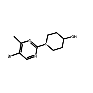 Cc1nc(N2CCC(O)CC2)ncc1Br